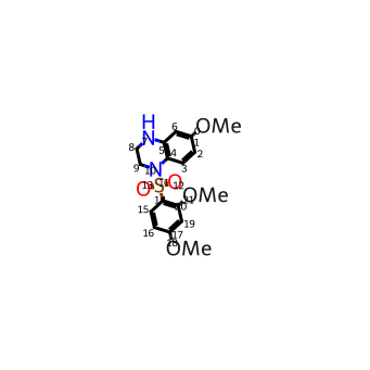 COc1ccc2c(c1)NCCN2S(=O)(=O)c1ccc(OC)cc1OC